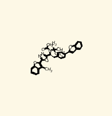 Cc1c(-c2nnc([C@H](Cc3ccc(-c4cc5ccccc5o4)cc3)N(C(=O)O)C(C)(C)C)o2)oc2ccccc12